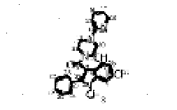 Cc1cccc2c1c(C(=O)N1CCN(c3ccccn3)CC1)c(-c1ccccc1)n2C.Cl